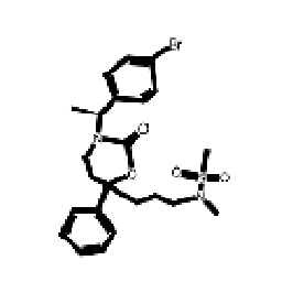 C[C@@H](c1ccc(Br)cc1)N1CCC(CCCN(C)S(C)(=O)=O)(c2ccccc2)OC1=O